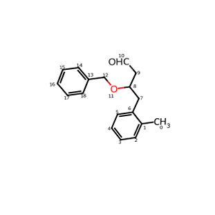 Cc1ccccc1CC(CC=O)OCc1ccccc1